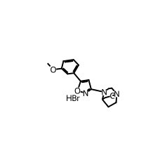 Br.COc1cccc(-c2cc(N3CCN4CCC3CC4)no2)c1